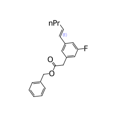 CCC/C=C/c1cc(F)cc(CC(=O)OCc2ccccc2)c1